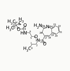 CCCN(OCCNC(=O)OC(C)(C)C)C(=O)C1=Cc2ccccc2N=C(N)C1